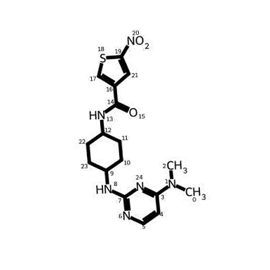 CN(C)c1ccnc(NC2CCC(NC(=O)c3csc([N+](=O)[O-])c3)CC2)n1